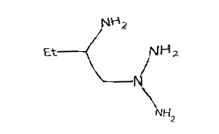 CCC(N)CN(N)N